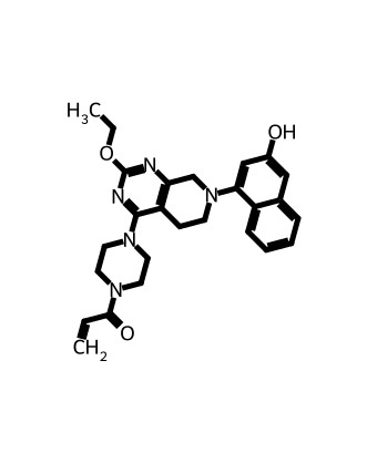 C=CC(=O)N1CCN(c2nc(OCC)nc3c2CCN(c2cc(O)cc4ccccc24)C3)CC1